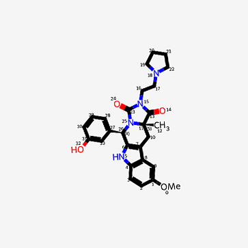 COc1ccc2[nH]c3c(c2c1)C[C@@]1(C)C(=O)N(CCN2CCCC2)C(=O)N1[C@@H]3c1cccc(O)c1